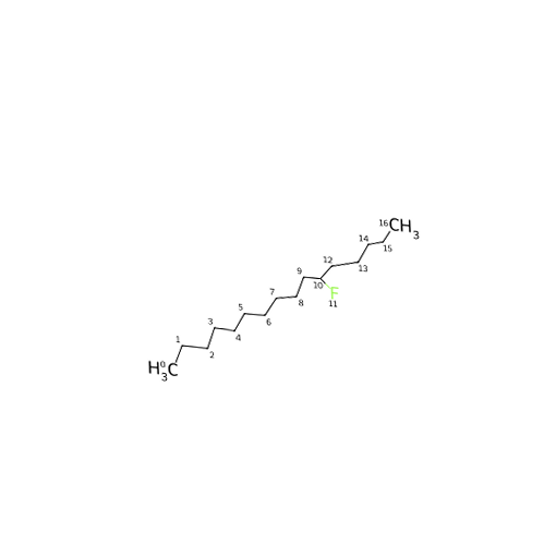 CCCCCCCCCCC(F)CCCCC